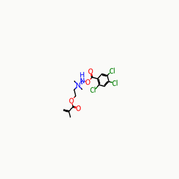 C=C(C)C(=O)OCC[N+](C)(C)NOC(=O)c1cc(Cl)c(Cl)cc1Cl